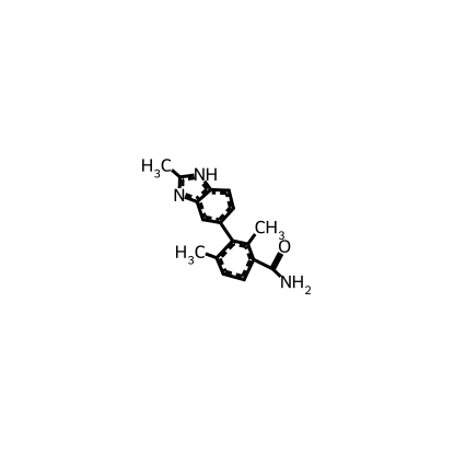 Cc1nc2cc(-c3c(C)ccc(C(N)=O)c3C)ccc2[nH]1